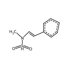 CN(C=Cc1ccccc1)[SH](=O)=O